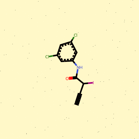 C#CC(I)C(=O)Nc1cc(Cl)cc(Cl)c1